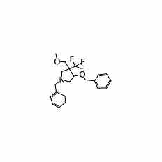 COCC1(C(F)(F)F)CN(Cc2ccccc2)CC1OCc1ccccc1